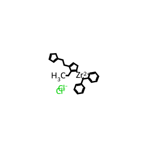 CCC1=[C]([Zr+2]=[C](c2ccccc2)c2ccccc2)CC=C1CCC1=CC=CC1.[Cl-].[Cl-]